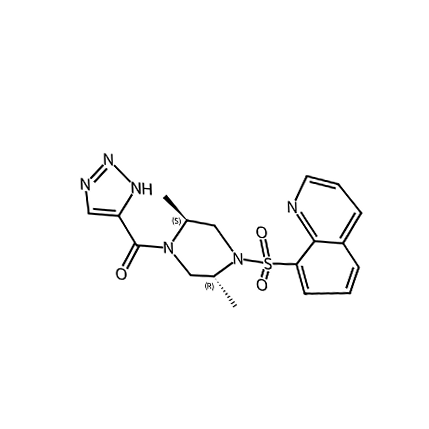 C[C@@H]1CN(C(=O)c2cnn[nH]2)[C@@H](C)CN1S(=O)(=O)c1cccc2cccnc12